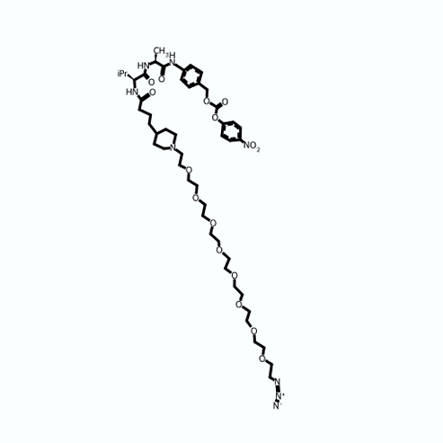 CC(C)[C@H](NC(=O)CCCC1CCN(CCOCCOCCOCCOCCOCCOCCOCCOCCN=[N+]=[N-])CC1)C(=O)N[C@@H](C)C(=O)Nc1ccc(COC(=O)Oc2ccc([N+](=O)[O-])cc2)cc1